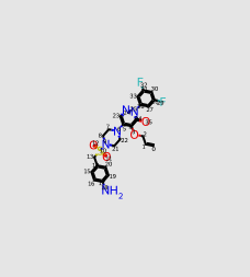 C=CCOc1c(N2CCN(S(=O)(=O)Cc3ccc(N)cc3)CC2)cnn(-c2cc(F)cc(F)c2)c1=O